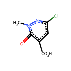 Cn1nc(Cl)cc(C(=O)O)c1=O